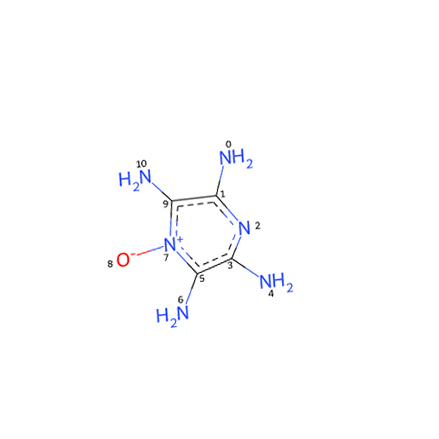 Nc1nc(N)c(N)[n+]([O-])c1N